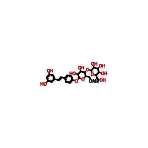 COCC1OC(Oc2ccc(/C=C/c3cc(O)cc(O)c3)cc2)C(O)C(O)C1OC1OC(CO)C(O)C(O)C1O